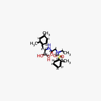 CCN(CC(=O)N[C@@H](Cc1ccc(C)cc1C)B(O)O)S(=O)(=O)c1ccccc1C